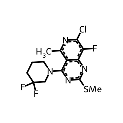 CSc1nc(N2CCCC(F)(F)C2)c2c(C)nc(Cl)c(F)c2n1